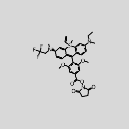 C=C[Si]1(C)C2=C/C(=[N+](\C)CC(F)(F)F)C=CC2=C(c2c(OC)cc(C(=O)ON3C(=O)CCC3=O)cc2OC)c2ccc(N(C)CC)cc21